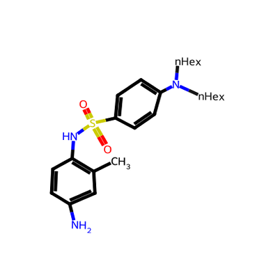 CCCCCCN(CCCCCC)c1ccc(S(=O)(=O)Nc2ccc(N)cc2C)cc1